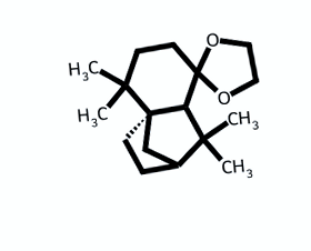 CC1(C)C2CC[C@@]3(C2)C1C1(CCC3(C)C)OCCO1